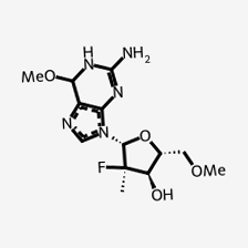 COC[C@H]1O[C@@H](n2cnc3c2N=C(N)NC3OC)[C@](C)(F)[C@@H]1O